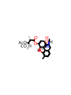 CC(=O)O[C@H](C(=O)O)[C@H](C)C(=O)OC1=CC[C@@]2(O)[C@H]3Cc4ccc(C)c5c4[C@@]2(CCN3C)[C@H]1O5